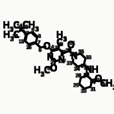 COc1nc(OCc2ccc(C(C)(C)C)cc2)c(C)c(C(=O)N2CCC(N[C@@H]3CCCC[C@@H]3OC)CC2)n1